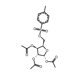 CC(=O)O[C@H]1O[C@H](COS(=O)(=O)c2ccc(C)cc2)[C@H](OC(C)=O)[C@H]1OC(C)=O